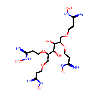 N=C(CCOCC(OCCC(=N)NO)C(O)C(O)C(COCCC(=N)NO)OCCC(=N)NO)NO